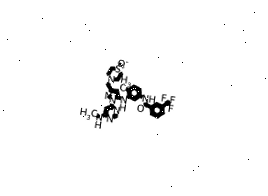 CNc1cc(-n2nc(CN3CC[S+]([O-])CC3)cc2Nc2cc(NC(=O)c3cccc(C(F)(F)F)c3)ccc2C)ncn1